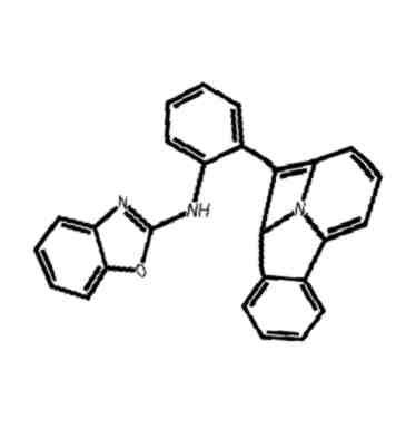 C1=CC2=C(c3ccccc3Nc3nc4ccccc4o3)C3c4ccccc4C(=C1)N23